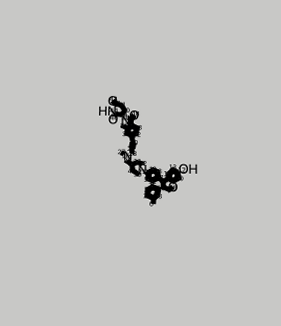 Cc1cccc([C@H]2COc3cc(O)ccc3C2c2ccc(N3CCC(CN(C)CC#Cc4ccc5c(c4)CN(C4CCC(=O)NC4=O)C5=O)CC3)cc2)c1